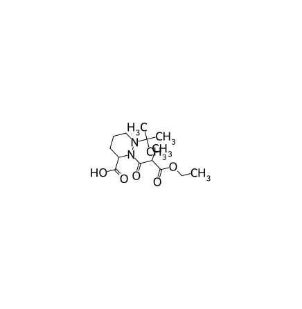 CCOC(=O)C(C)C(=O)N1C(C(=O)O)CCCN1C(C)(C)C